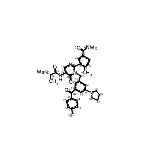 CNC(=O)c1ccc(C)c(-c2ncc(NC(=O)[C@H](C)NC)c(=O)n2Cc2cc(C(=O)c3ccc(F)cc3)cc(N3CCCC3)c2)c1